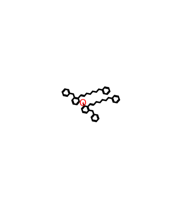 C(=Cc1c(Cc2ccccc2)cccc1Oc1cccc(Cc2ccccc2)c1C=CCCCCCc1ccccc1)CCCCCc1ccccc1